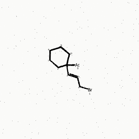 CC(=O)C1(/C=C/CBr)CCCCC1